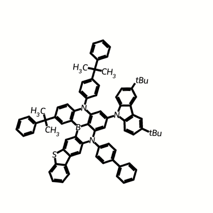 CC(C)(C)c1ccc2c(c1)c1cc(C(C)(C)C)ccc1n2-c1cc2c3c(c1)N(c1ccc(-c4ccccc4)cc1)c1cc4c(cc1B3c1cc(C(C)(C)c3ccccc3)ccc1N2c1ccc(C(C)(C)c2ccccc2)cc1)sc1ccccc14